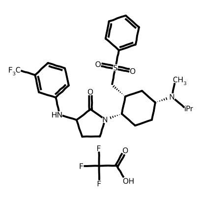 CC(C)N(C)[C@@H]1CC[C@H](N2CCC(Nc3cccc(C(F)(F)F)c3)C2=O)[C@H](CS(=O)(=O)c2ccccc2)C1.O=C(O)C(F)(F)F